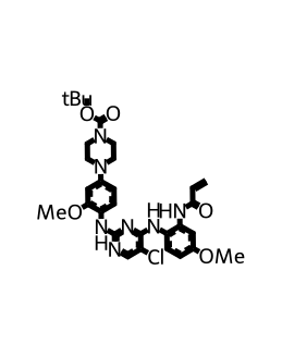 C=CC(=O)Nc1cc(OC)ccc1Nc1nc(Nc2ccc(N3CCN(C(=O)OC(C)(C)C)CC3)cc2OC)ncc1Cl